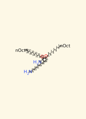 CCCCCCCCC=CCCCCCCCCOc1ccc(CC(N)CCCCCCCN)cc1OCCCCCCCCC=CCCCCCCCC